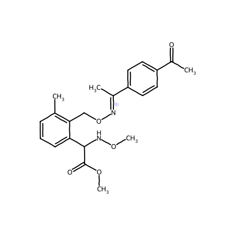 CONC(C(=O)OC)c1cccc(C)c1CO/N=C(\C)c1ccc(C(C)=O)cc1